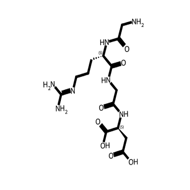 NCC(=O)N[C@@H](CCCN=C(N)N)C(=O)NCC(=O)N[C@@H](CC(=O)O)C(=O)O